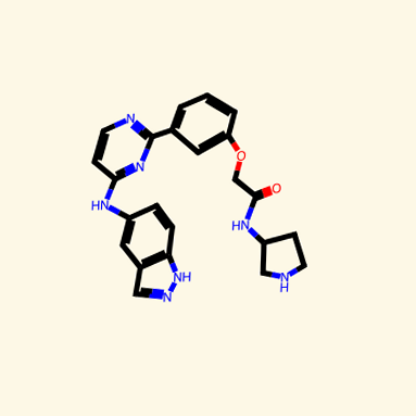 O=C(COc1cccc(-c2nccc(Nc3ccc4[nH]ncc4c3)n2)c1)NC1CCNC1